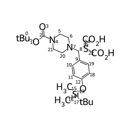 CC(C)(C)OC(=O)N1CCN(Cc2ccc(O[Si](C)(C)C(C)(C)C)cc2)CC1.O=C(O)SC(=O)O